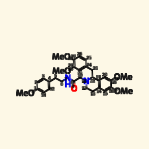 COc1ccc(CCNC(=O)CN2CCc3cc(OC)c(OC)cc3C2Cc2ccc(OC)c(OC)c2)cc1